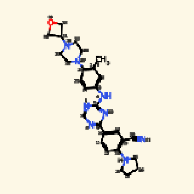 Cc1cc(Nc2ncnc(-c3ccc(N4CCCC4)c(C#N)c3)n2)ccc1N1CCN(C2COC2)CC1